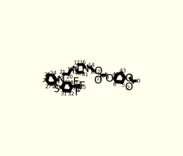 CC(=O)Oc1ccc(OCC(=O)OCCN2CCN(CCCN3c4ccccc4Sc4ccc(C(F)(F)F)cc43)CC2)cc1